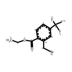 CCOC(=O)c1ccc(C(F)(F)F)cc1CBr